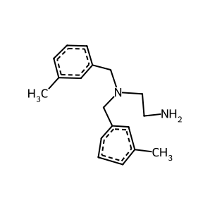 Cc1cccc(CN(CCN)Cc2cccc(C)c2)c1